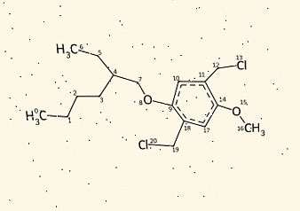 CCCCC(CC)COc1cc(CCl)c(OC)cc1CCl